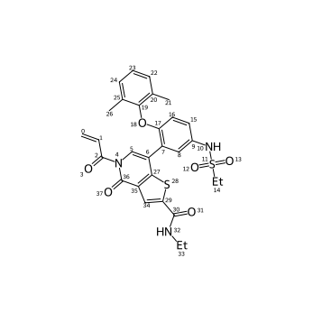 C=CC(=O)n1cc(-c2cc(NS(=O)(=O)CC)ccc2Oc2c(C)cccc2C)c2sc(C(=O)NCC)cc2c1=O